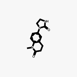 CN1C(=O)CCc2cc(N3CCNC3=O)ccc21